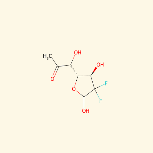 CC(=O)C(O)[C@H]1OC(O)C(F)(F)[C@@H]1O